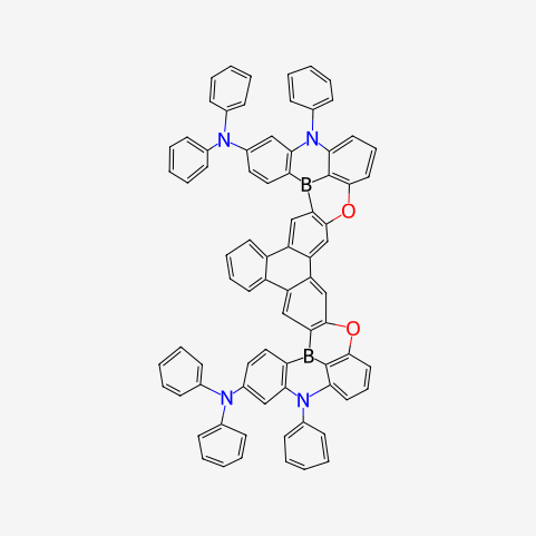 c1ccc(N(c2ccccc2)c2ccc3c(c2)N(c2ccccc2)c2cccc4c2B3c2cc3c5ccccc5c5cc6c(cc5c3cc2O4)Oc2cccc3c2B6c2ccc(N(c4ccccc4)c4ccccc4)cc2N3c2ccccc2)cc1